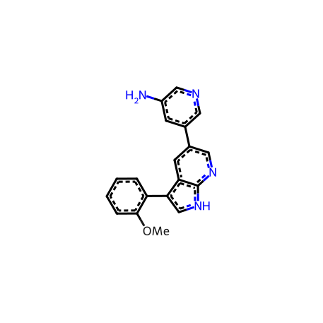 COc1ccccc1-c1c[nH]c2ncc(-c3cncc(N)c3)cc12